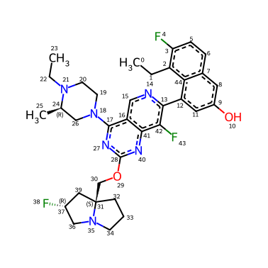 CCc1c(F)ccc2cc(O)cc(-c3ncc4c(N5CCN(CC)[C@H](C)C5)nc(OC[C@@]56CCCN5C[C@H](F)C6)nc4c3F)c12